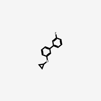 Fc1cccc(-c2cccc(OC3CC3)c2)c1